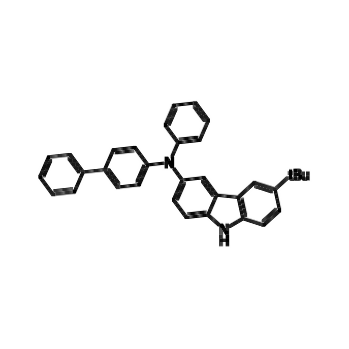 CC(C)(C)c1ccc2[nH]c3ccc(N(c4ccccc4)c4ccc(-c5ccccc5)cc4)cc3c2c1